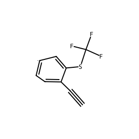 C#Cc1cc[c]cc1SC(F)(F)F